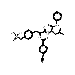 CC(C)CC(NC(=O)C(Cc1ccc(OP(=O)(O)O)cc1)NC(=O)c1ccc(C#N)cc1)C(=O)Nc1ccccc1